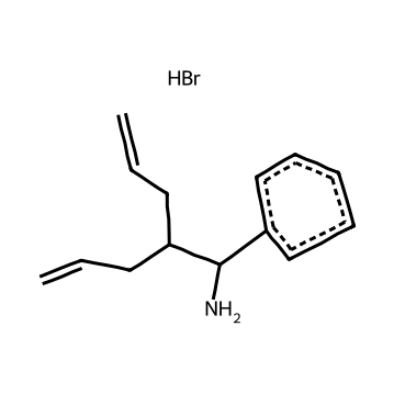 Br.C=CCC(CC=C)C(N)c1ccccc1